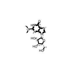 CN(C)c1nc2c(ncn2[C@@H]2O[C@H](CO)[C@H](O)[C@@H]2O)c(=O)[nH]1